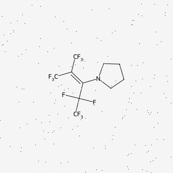 FC(F)(F)C(=C(N1CCCC1)C(F)(F)C(F)(F)F)C(F)(F)F